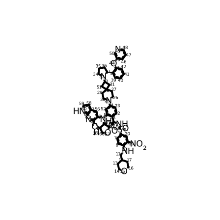 O=C(NS(=O)(=O)c1ccc(NCC2CCOCC2)c([N+](=O)[O-])c1)c1ccc(N2CCC3(CC2)CC(N2CCC[C@H]2c2ccccc2Oc2cccnc2)C3)cc1N1c2cc3cc[nH]c3nc2O[C@@H]2COC[C@H]21